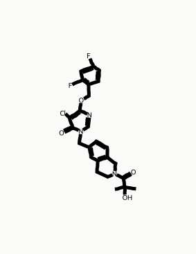 CC(C)(O)C(=O)N1CCc2cc(Cn3cnc(OCc4ccc(F)cc4F)c(Cl)c3=O)ccc2C1